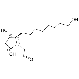 O=CC[C@H]1[C@H](CCCCCCCCO)[C@@H](O)C[C@H]1O